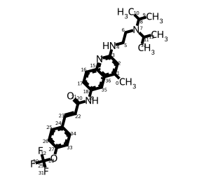 Cc1cc(NCCN(C(C)C)C(C)C)nc2ccc(NC(=O)C=Cc3ccc(OC(F)(F)F)cc3)cc12